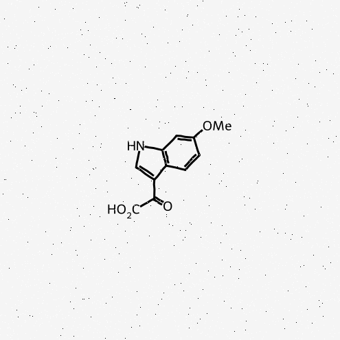 COc1ccc2c(C(=O)C(=O)O)c[nH]c2c1